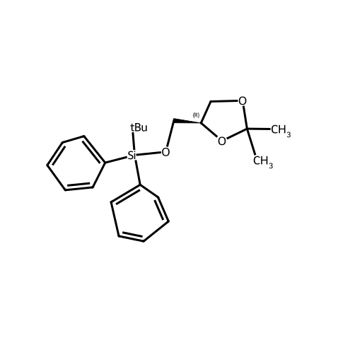 CC1(C)OC[C@H](CO[Si](c2ccccc2)(c2ccccc2)C(C)(C)C)O1